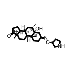 C[C@H]1C[C@H]2[C@@H]3CCC(=O)[C@@]3(C)CC[C@@H]2[C@@]2(C)CCC(=NO[C@H]3CCNC3)C[C@]12O